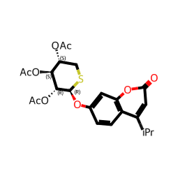 CC(=O)O[C@@H]1[C@@H](OC(C)=O)[C@H](OC(C)=O)CS[C@H]1Oc1ccc2c(C(C)C)cc(=O)oc2c1